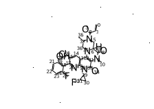 C=CC(=O)N1C[C@@H]2C(=O)N(C)c3c(c4cc(Cl)c(-c5c(O)cccc5F)nc4n([C@@H]4C[C@@H]4F)c3=O)N2C[C@H]1C